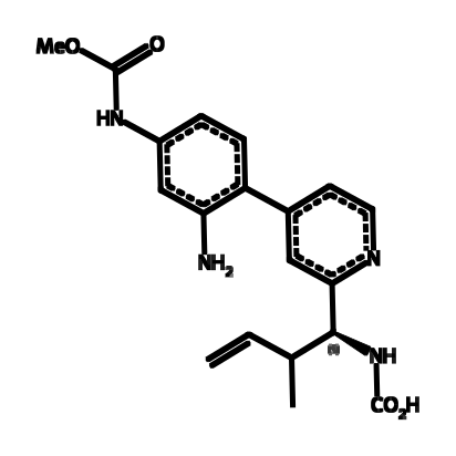 C=CC(C)[C@H](NC(=O)O)c1cc(-c2ccc(NC(=O)OC)cc2N)ccn1